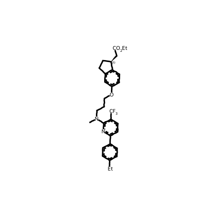 CCOC(=O)C[C@@H]1CCc2cc(OCCCN(C)c3nc(-c4ccc(CC)cc4)ccc3C(F)(F)F)ccc21